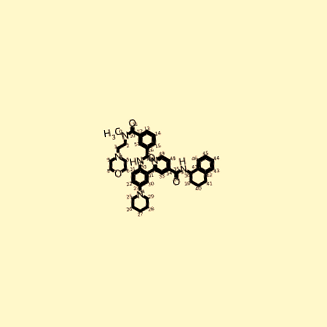 CN(CCN1CCOCC1)C(=O)c1cccc(C(=O)Nc2ccc(N3CCCCC3)cc2-c2cc(C(=O)NC3CCCc4ccccc43)ccn2)c1